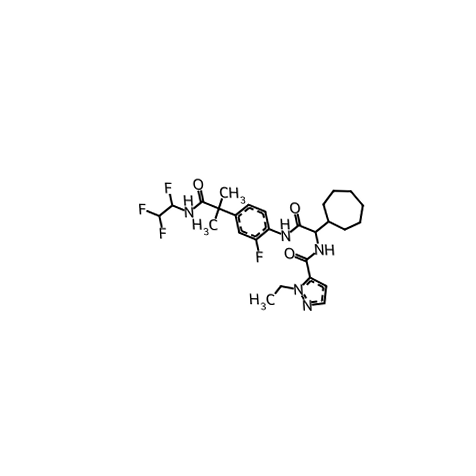 CCn1nccc1C(=O)NC(C(=O)Nc1ccc(C(C)(C)C(=O)NC(F)C(F)F)cc1F)C1CCCCCC1